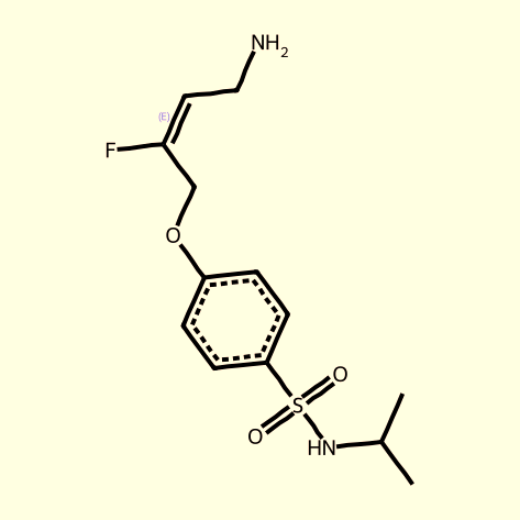 CC(C)NS(=O)(=O)c1ccc(OC/C(F)=C\CN)cc1